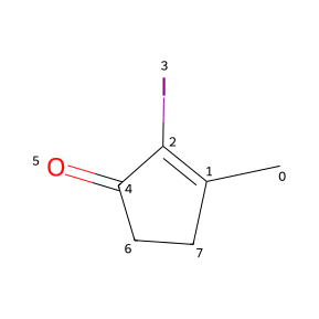 CC1=C(I)C(=O)CC1